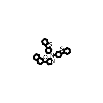 c1ccc2c(c1)ccc1c3ccnc(N(c4ccc5c(c4)sc4ccccc45)c4ccc5c(c4)sc4ccccc45)c3oc21